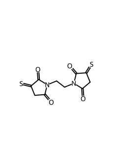 O=C1CC(=S)C(=O)N1CCN1C(=O)CC(=S)C1=O